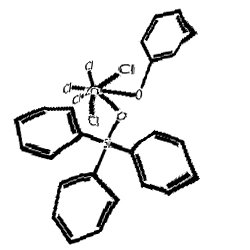 [Cl][Zn]([Cl])([Cl])([Cl])([Cl])([O]c1ccccc1)[O][Si](c1ccccc1)(c1ccccc1)c1ccccc1